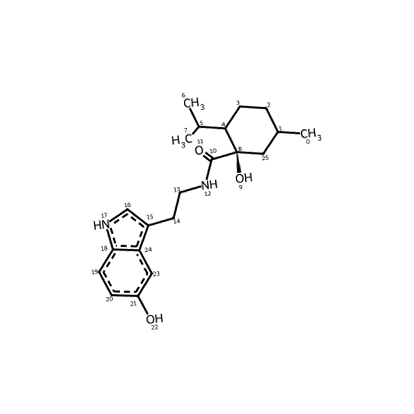 CC1CCC(C(C)C)[C@@](O)(C(=O)NCCc2c[nH]c3ccc(O)cc23)C1